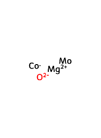 [Co].[Mg+2].[Mo].[O-2]